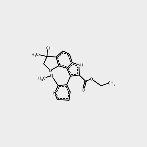 CCOC(=O)c1[nH]c2ccc3c(c2c1-c1cccnc1OC)OCC3(C)C